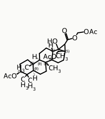 CC(=O)OCOC(=O)C1C2(O)[C@H]3CC[C@@H]4[C@@]5(C)CC[C@H](OC(C)=O)C(C)(C)[C@@H]5CC[C@@]4(C)[C@]3(C)CC[C@@]12COC(C)=O